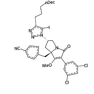 CCCCCCCCCCCCCc1nnn([C@@H]2CN3C(=O)C(c4cc(Cl)cc(Cl)c4)=C(OC)[C@]3(Cc3ccc(C#N)cc3)C2)c1I